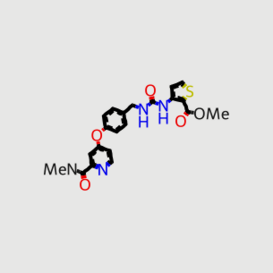 CNC(=O)c1cc(Oc2ccc(CNC(=O)Nc3ccsc3C(=O)OC)cc2)ccn1